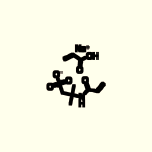 C=CC(=O)NC(C)(C)CS(=O)(=O)[O-].C=CC(=O)O.[Na+]